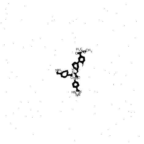 CON(C)C(=O)c1ccc(F)c(-c2cccc(C[C@H](NC(=O)C3CCC(CN)CC3)C(=O)Nc3ccc(-c4nnn[nH]4)cc3)c2)c1